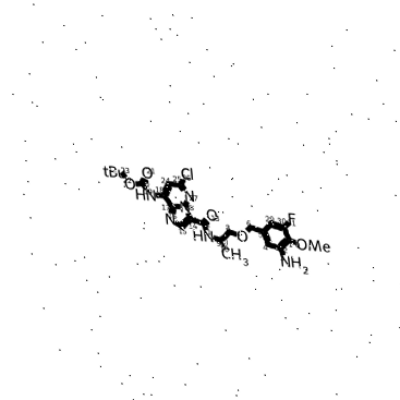 COc1c(N)cc(COC[C@@H](C)NC(=O)c2cnc3c(NC(=O)OC(C)(C)C)cc(Cl)nn23)cc1F